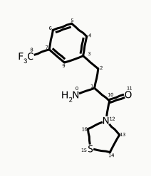 NC(Cc1cccc(C(F)(F)F)c1)C(=O)N1CCSC1